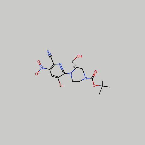 CC(C)(C)OC(=O)N1CCN(c2nc(C#N)c([N+](=O)[O-])cc2Br)[C@H](CO)C1